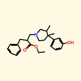 CCOC(=O)C(Cc1ccccc1)CN1CCC(C)(c2cccc(O)c2)C(C)C1